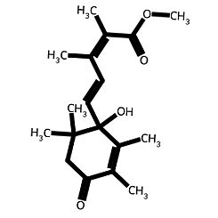 COC(=O)/C(C)=C(C)\C=C\C1(O)C(C)=C(C)C(=O)CC1(C)C